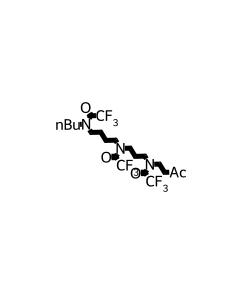 CCCCN(CCCCN(CCCN(CCC(C)=O)C(=O)C(F)(F)F)C(=O)C(F)(F)F)C(=O)C(F)(F)F